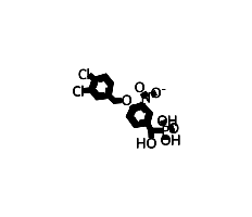 O=[N+]([O-])c1cc(C(O)P(=O)(O)O)ccc1OCc1ccc(Cl)c(Cl)c1